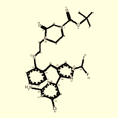 CC(C)(C)OC(=O)N1CCN(CCOc2ccccc2Cc2cn(C(F)F)nc2-c2cc(Cl)nc(N)n2)C(=O)C1